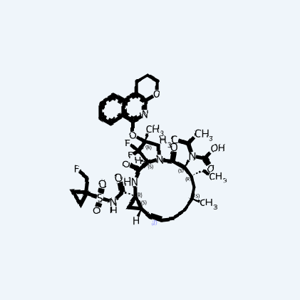 CC[C@@H]1C[C@@H](C)CC/C=C\[C@@H]2C[C@@]2(C(=O)NS(=O)(=O)C2(CF)CC2)NC(=O)[C@@H]2N(C[C@@](C)(Oc3nc4c(c5ccccc35)CCCO4)C2(F)F)C(=O)[C@H]1N(C(=O)O)C(C)C